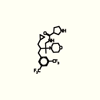 CC(CNC(=O)C1CCNC1)(C(Cc1cc(C(F)(F)F)cc(C(F)(F)F)c1)CC1CC1)N1CCOCC1